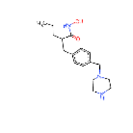 CCCC(Cc1ccc(CN2CCNCC2)cc1)C(=O)NO